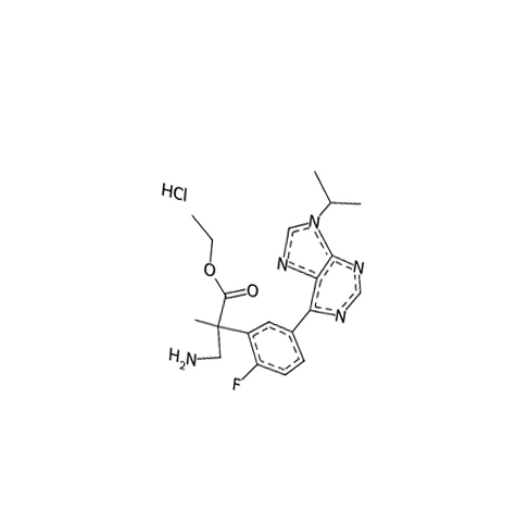 CCOC(=O)C(C)(CN)c1cc(-c2ncnc3c2ncn3C(C)C)ccc1F.Cl